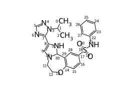 CC(C)n1ncnc1C1=CN2CCOc3ccc(S(=O)(=O)Nc4ccccc4)cc3C2N1